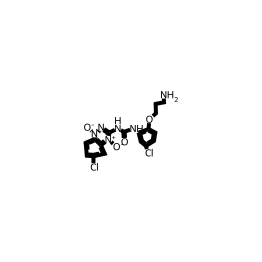 NCCCOc1ccc(Cl)cc1NC(=O)Nc1n[n+]([O-])c2ccc(Cl)cc2[n+]1[O-]